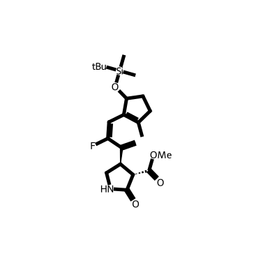 C=C(/C(F)=C\C1=C(C)CCC1O[Si](C)(C)C(C)(C)C)[C@@H]1CNC(=O)[C@H]1C(=O)OC